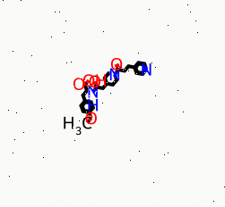 COc1ccc(CC(NC(=O)CC2CCN(C(=O)CCc3ccncc3)CC2)C(=O)O)cc1